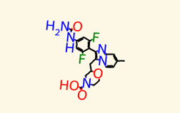 Cc1ccn2c(CC3CN(C(=O)O)CCO3)c(-c3c(F)cc(NC(N)=O)cc3F)nc2c1